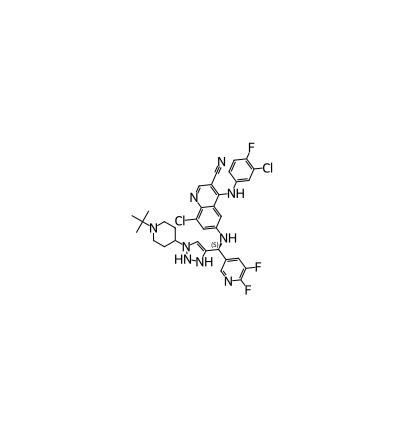 CC(C)(C)N1CCC(N2C=C([C@@H](Nc3cc(Cl)c4ncc(C#N)c(Nc5ccc(F)c(Cl)c5)c4c3)c3cnc(F)c(F)c3)NN2)CC1